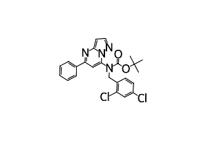 CC(C)(C)OC(=O)N(Cc1ccc(Cl)cc1Cl)c1cc(-c2ccccc2)nc2ccnn12